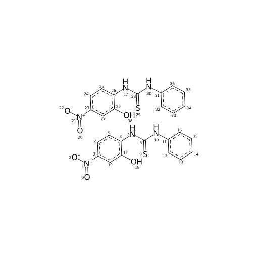 O=[N+]([O-])c1ccc(NC(=S)Nc2ccccc2)c(O)c1.O=[N+]([O-])c1ccc(NC(=S)Nc2ccccc2)c(O)c1